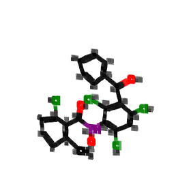 Cc1cccc(Cl)c1C(=O)[PH](=O)c1c(Cl)cc(Cl)c(C(=O)c2ccccc2)c1Cl